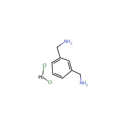 NCc1cccc(CN)c1.[Cl][Pb][Cl]